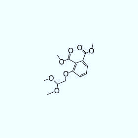 COC(=O)c1cccc(OCC(OC)OC)c1C(=O)OC